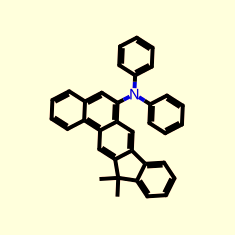 CC1(C)c2ccccc2-c2cc3c(N(c4ccccc4)c4ccccc4)cc4ccccc4c3cc21